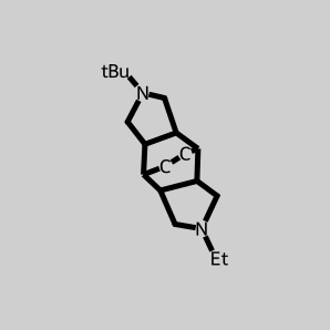 CCN1CC2C3CCC(C2C1)C1CN(C(C)(C)C)CC31